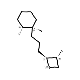 C[C@@H]1CN[C@H]1CCC[C@]1(C)CCCC[C@H]1C